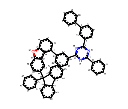 c1ccc(-c2cccc(-c3nc(-c4ccccc4)nc(-c4cccc(-c5cccc6oc7ccc(C8(c9ccccc9)c9ccccc9-c9ccccc98)cc7c56)c4)n3)c2)cc1